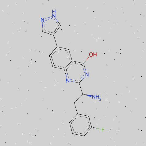 N[C@@H](Cc1cccc(F)c1)c1nc(O)c2cc(-c3cn[nH]c3)ccc2n1